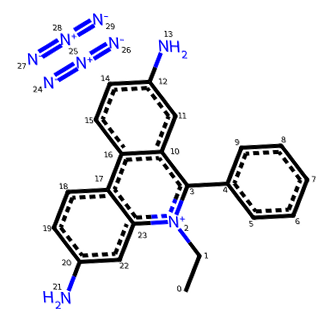 CC[n+]1c(-c2ccccc2)c2cc(N)ccc2c2ccc(N)cc21.[N-]=[N+]=[N-].[N-]=[N+]=[N-]